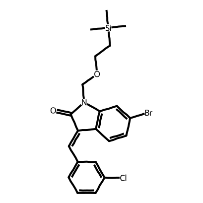 C[Si](C)(C)CCOCN1C(=O)/C(=C/c2cccc(Cl)c2)c2ccc(Br)cc21